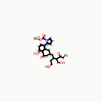 CC(=O)CC(=O)C(CO)C(CCO)CC1CC(=O)c2c(O)ccc(-c3cccn3C(=O)OC(C)(C)C)c2C1